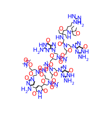 CCC(CC)(NC(CCCNC(=N)N)C(=O)C(CC)(CC)NCC(=O)N1CC(COP(=O)(N(C)C)N2CC(COP(=O)(N(C)C)N3CC(COP(=O)(N(C)C)N4CC(COP(=O)(N(C)C)N5CC(COP(C)(=O)N(C)C)OC(n6ccc(N)nc6=O)C5)OC(C5C=C(C)C(=O)NC5=O)C4)OC(n4cnc5c(=O)[nH]c(N)nc54)C3)OC(n3cnc4c(=O)[nH]c(N)nc43)C2)OC(n2cnc3c(=O)[nH]c(N)nc32)C1)C(C)=O